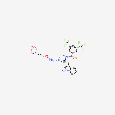 O=C(c1cc(C(F)(F)F)cc(C(F)(F)F)c1)N1CCN(C/C=N/OCCCN2CCOCC2)C[C@H]1Cc1c[nH]c2ccccc12